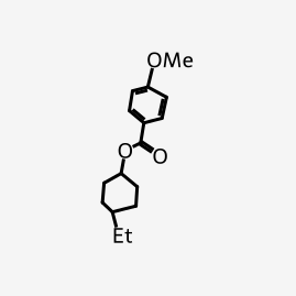 CCC1CCC(OC(=O)c2ccc(OC)cc2)CC1